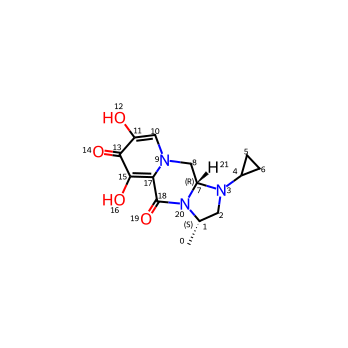 C[C@H]1CN(C2CC2)[C@H]2Cn3cc(O)c(=O)c(O)c3C(=O)N21